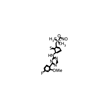 COc1cc(F)ccc1-c1ncnc(NC2C=CC=C(C[N+](C)(C)C(=O)N=O)C2=S)n1